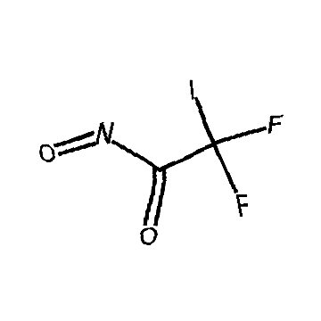 O=NC(=O)C(F)(F)I